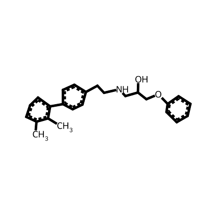 Cc1cccc(-c2ccc(CCNCC(O)COc3ccccc3)cc2)c1C